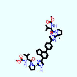 COC(=O)N[C@H](C(=O)N1CCC[C@H]1c1nc(-c2ccc(-c3ccc(-c4c[nH]c([C@]5(C)CCCN5C(=O)[C@@H](NC(=O)OC)C(C)C)n4)cc3)c3c2CCC3)c[nH]1)C(C)C